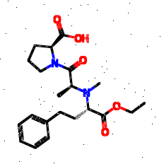 CCOC(=O)[C@H](CCc1ccccc1)N(C)[C@@H](C)C(=O)N1CCC[C@H]1C(=O)O